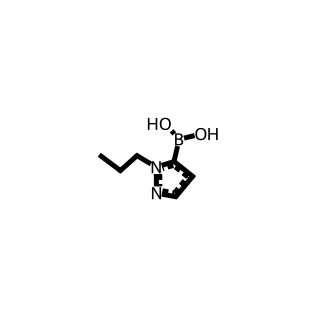 CCCn1nccc1B(O)O